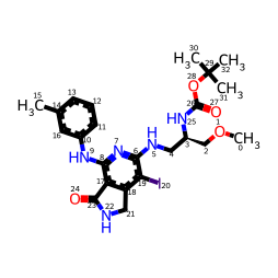 COC[C@@H](CNc1nc(Nc2cccc(C)c2)c2c(c1I)CNC2=O)NC(=O)OC(C)(C)C